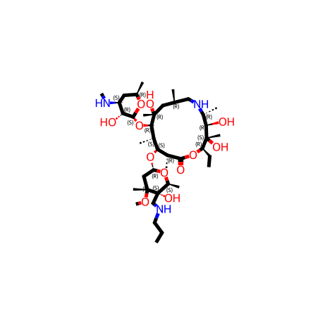 CCCNC[C@]1(O)[C@H](C)O[C@@H](O[C@H]2[C@H](C)[C@@H](O[C@@H]3O[C@H](C)C[C@H](NC)[C@H]3O)[C@](C)(O)C[C@@H](C)CN[C@H](C)[C@@H](O)[C@](C)(O)[C@@H](CC)OC(=O)[C@@H]2C)C[C@@]1(C)OC